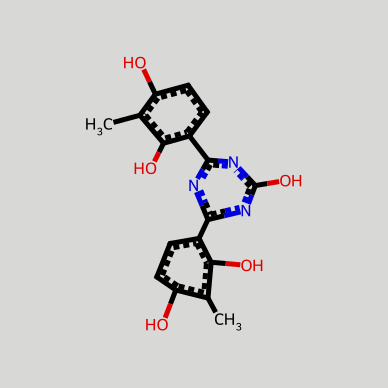 Cc1c(O)ccc(-c2nc(O)nc(-c3ccc(O)c(C)c3O)n2)c1O